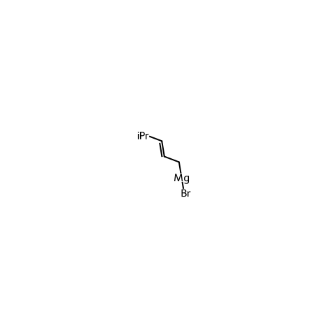 CC(C)C=C[CH2][Mg][Br]